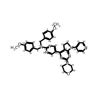 COc1ccc(CN(Cc2ccc(OC)cc2)c2ncc(-c3nc(N4CCOCC4)nc4c3CCN4c3ccncc3)cn2)cc1